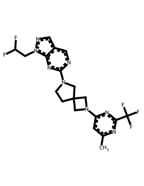 Cc1cc(N2CC3(CCN(c4ncc5cnn(CC(F)F)c5n4)C3)C2)nc(C(F)(F)F)n1